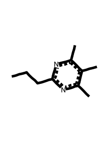 CCCc1nc(C)c(C)c(C)n1